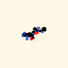 CC(=O)c1cn(CC(=O)N2CCC[C@H]2C(=O)NCc2nc3ccccc3s2)c2ccc(Nc3cncnc3)cc12